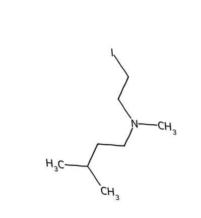 CC(C)CCN(C)CCI